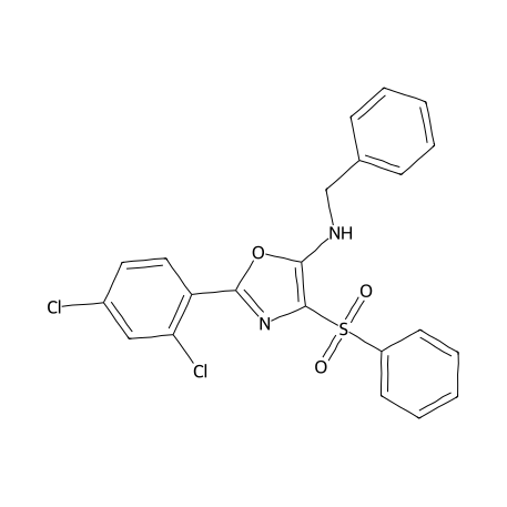 O=S(=O)(c1ccccc1)c1nc(-c2ccc(Cl)cc2Cl)oc1NCc1ccccc1